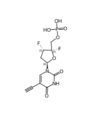 C#Cc1cn([C@H]2C[C@H](F)[C@@](F)(COP(=O)(O)O)O2)c(=O)[nH]c1=O